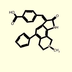 CN1CCc2c(-c3ccccc3)cc3c(c2C1)NC(=O)/C3=C/c1ccc(C(=O)O)cc1